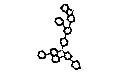 c1ccc(-c2ccc(N(c3ccc(-c4ccc(-c5ccc6oc7ccccc7c6c5)c(-c5ccccc5)c4)cc3)c3ccc(-c4ccccc4)cc3-c3ccccc3)cc2)cc1